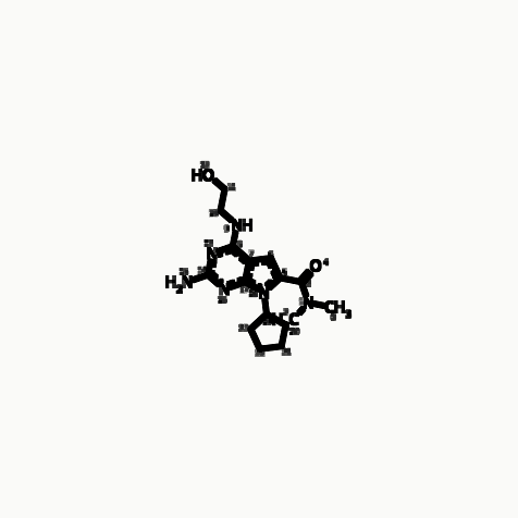 CN(C)C(=O)c1cc2c(NCCO)nc(N)nc2n1C1CCCC1